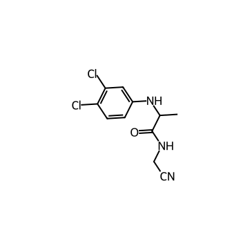 CC(Nc1ccc(Cl)c(Cl)c1)C(=O)NCC#N